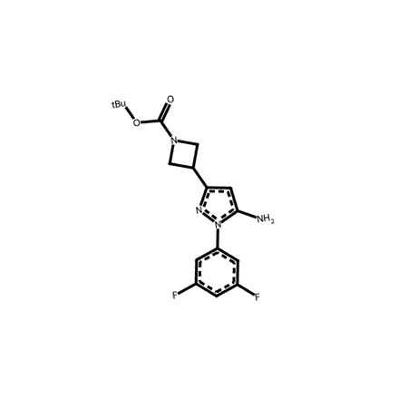 CC(C)(C)OC(=O)N1CC(c2cc(N)n(-c3cc(F)cc(F)c3)n2)C1